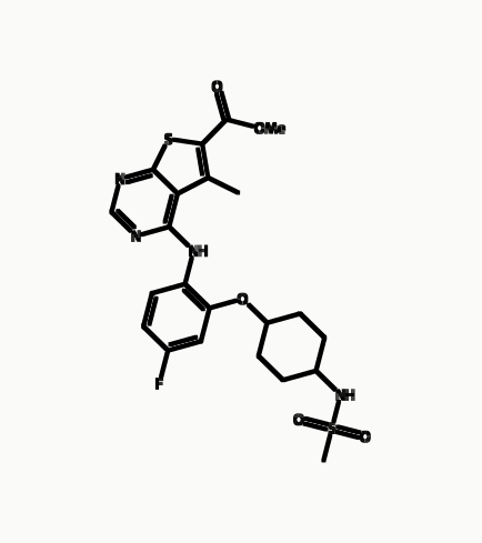 COC(=O)c1sc2ncnc(Nc3ccc(F)cc3OC3CCC(NS(C)(=O)=O)CC3)c2c1C